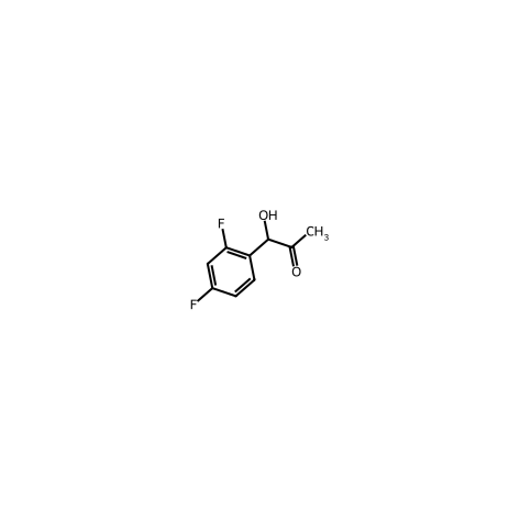 CC(=O)C(O)c1ccc(F)cc1F